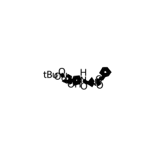 CC(C)(C)OC(=O)N1CCC(O)(c2ccc(NC(=O)C3CN(C(=O)OCc4ccccc4)C3)cc2)CC1